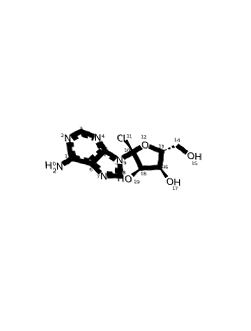 Nc1ncnc2c1ncn2[C@]1(Cl)O[C@H](CO)[C@@H](O)[C@H]1O